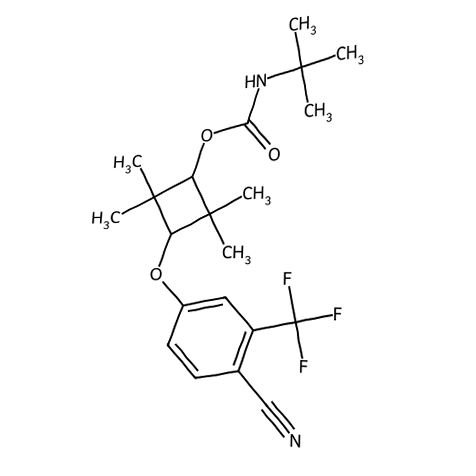 CC(C)(C)NC(=O)OC1C(C)(C)C(Oc2ccc(C#N)c(C(F)(F)F)c2)C1(C)C